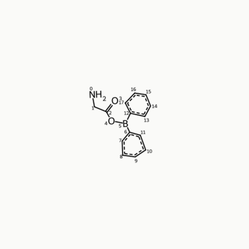 NCC(=O)OB(c1ccccc1)c1ccccc1